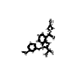 COc1cccc(Cn2c(C(=O)O)nc3c(C(=O)N4CC(O)C4)cccc32)c1